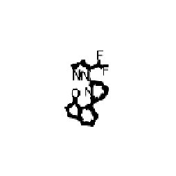 O=C1CCc2cccc(-c3cccc(-n4nccc4C(F)F)n3)c21